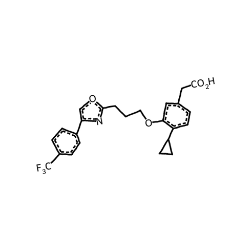 O=C(O)Cc1ccc(C2CC2)c(OCCCc2nc(-c3ccc(C(F)(F)F)cc3)co2)c1